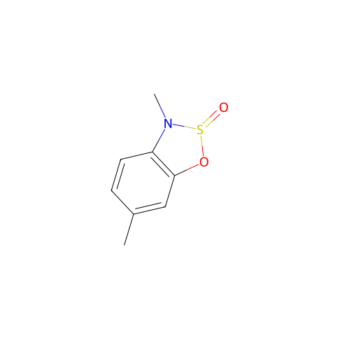 Cc1ccc2c(c1)OS(=O)N2C